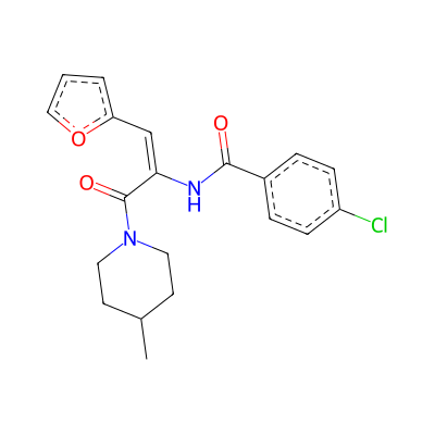 CC1CCN(C(=O)C(=Cc2ccco2)NC(=O)c2ccc(Cl)cc2)CC1